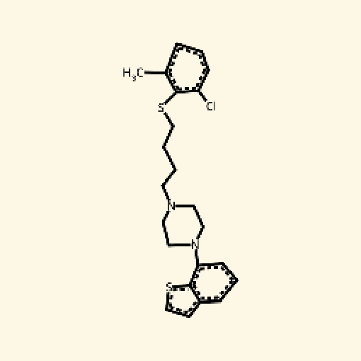 Cc1cccc(Cl)c1SCCCCN1CCN(c2cccc3ccsc23)CC1